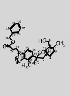 CCC(Cc1ccc(C)c(CO)c1)(C(=O)O)c1ccc2c(nnn2CCC(=O)OCc2ccccc2)c1C